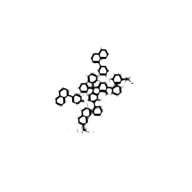 CC(C)(C)c1ccc(N(c2ccc(-c3cccc4ccccc34)cc2)c2cc3c(c4oc5ccccc5c24)-c2c(cc(N(c4ccc(-c5cccc6ccccc56)cc4)c4ccc5cc(C(C)(C)C)ccc5c4)c4c2oc2ccccc24)C3(c2ccccc2)c2ccccc2)cc1